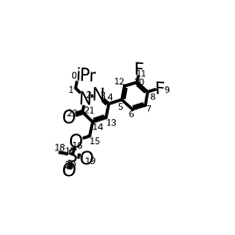 CC(C)Cn1nc(-c2ccc(F)c(F)c2)cc(COS(C)(=O)=O)c1=O